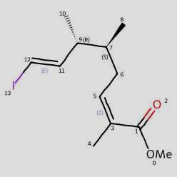 COC(=O)/C(C)=C\C[C@H](C)[C@@H](C)/C=C/I